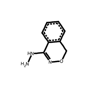 NNC1=NOCc2ccccc21